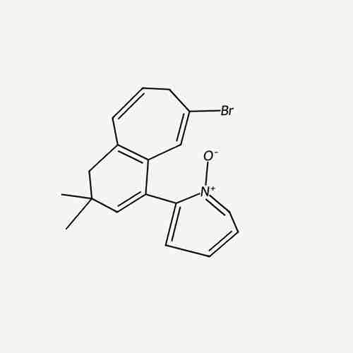 CC1(C)C=C(c2cccc[n+]2[O-])C2=C(C=CCC(Br)=C2)C1